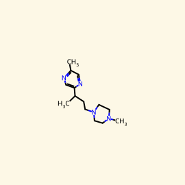 Cc1cnc(C(C)CCN2CCN(C)CC2)cn1